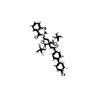 CC(C)(C)OC(=O)C(CCn1nnc2ccccc2c1=O)(CC(=O)c1ccc(-c2ccc(Br)cc2)cc1)C(=O)OC(C)(C)C